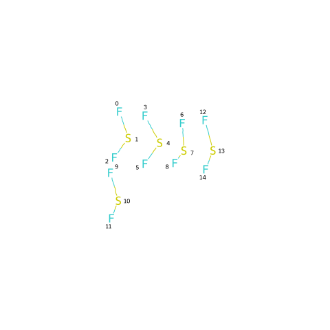 FSF.FSF.FSF.FSF.FSF